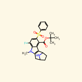 Cn1c2c(c3c(C(=O)OC(C)(C)C)c(S(=O)(=O)c4ccccc4)cc(F)c31)C1CCC(C2)N1